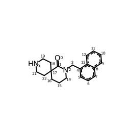 O=C1N(Cc2cccc3ccccc23)CCCC12CCNCC2